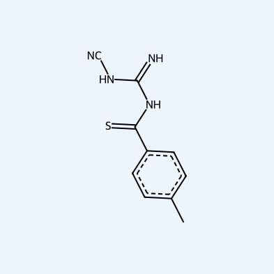 Cc1ccc(C(=S)NC(=N)NC#N)cc1